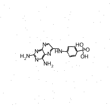 Nc1nc(N)c2nc(CNc3ccc(P(=O)(O)O)cc3)cnc2n1